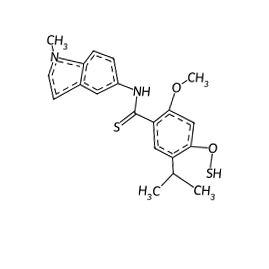 COc1cc(OS)c(C(C)C)cc1C(=S)Nc1ccc2c(ccn2C)c1